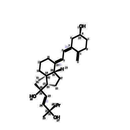 C=C1CC[C@H](O)C/C1=C/C=C1\CCC[C@@]2(C)[C@H]1CC[C@@H]2[C@@](C)(O)/C=C/[C@@](C)(O)C(C)C